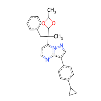 CC1OC(C(C)(Cc2ccccc2)c2ccnc3c(-c4ccc(C5CC5)cc4)cnn23)O1